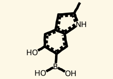 Cc1cc2cc(O)c(B(O)O)cc2[nH]1